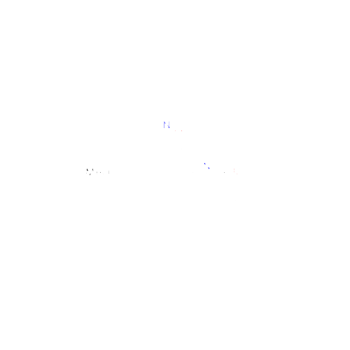 COc1cccc(C2=NOC3(CCN(C(=O)C(c4ccccc4)c4ccccc4)CC3)C2)c1